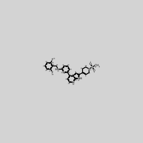 CS(=O)(=O)N1CC=C(c2cc3c(-c4cccc(NCc5c(F)cccc5F)n4)ccnc3[nH]2)CC1